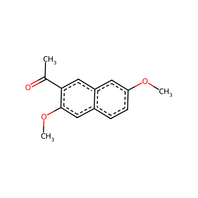 COc1ccc2cc(OC)c(C(C)=O)cc2c1